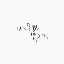 CCCC(CC(=O)NCC(C)C)C(N)=O